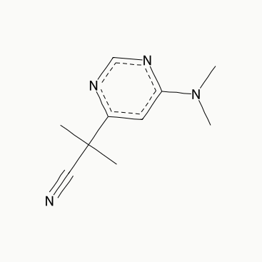 CN(C)c1cc(C(C)(C)C#N)ncn1